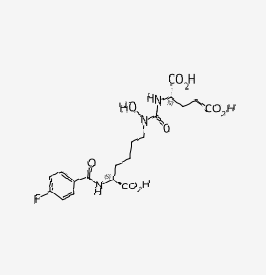 O=C(O)CC[C@H](NC(=O)N(O)CCCC[C@H](NC(=O)c1ccc(F)cc1)C(=O)O)C(=O)O